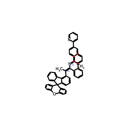 C=N/C(=N\C(=C(/C)c1cccc2c1-c1ccccc1C21c2ccccc2Oc2ccccc21)c1ccccc1-c1ccccc1)c1ccc(-c2ccccn2)cc1